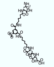 NC(=O)C[C@@H](NC(=O)CCCCCNC(=O)c1cc(C(=O)NCCCCCC(=O)N[C@H](CC(=O)N[C@@H](CCC(=O)O)C(=O)O)C(=O)O)cc([N+](=O)[O-])c1)C(=O)O